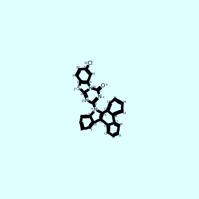 O=c1nc(-n2c3ccccc3c3c4ccccc4c4ccccc4c32)nc2sc3ccc(Cl)cc3n12